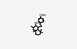 COc1ccc(CC2C(N)C(C)CC3(C)CCCC(C)(C)C23)cc1